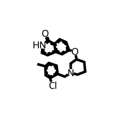 Cc1ccc(CN2CCCC(Oc3ccc4c(=O)[nH]ccc4c3)C2)c(Cl)c1